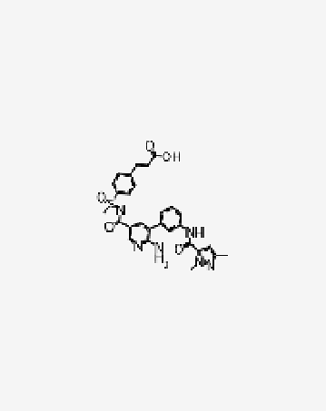 Cc1cc(C(=O)Nc2cccc(-c3cc(C(=O)N=S(C)(=O)c4ccc(CCC(=O)O)cc4)cnc3N)c2)n(C)n1